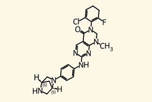 CN1CN(C2=C(F)CCC=C2Cl)C(=O)c2cnc(Nc3ccc(N4C[C@@H]5C[C@H]4CN5)cc3)nc21